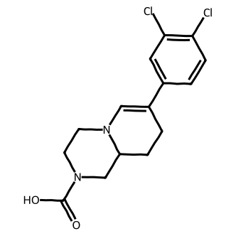 O=C(O)N1CCN2C=C(c3ccc(Cl)c(Cl)c3)CCC2C1